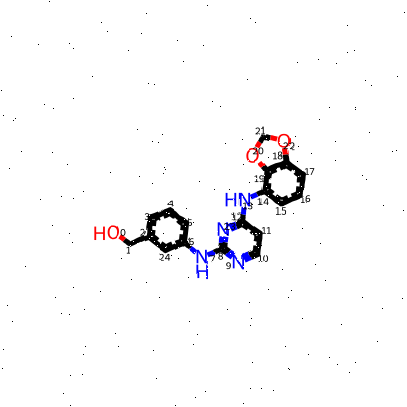 OCc1cccc(Nc2nccc(Nc3cccc4c3OCO4)n2)c1